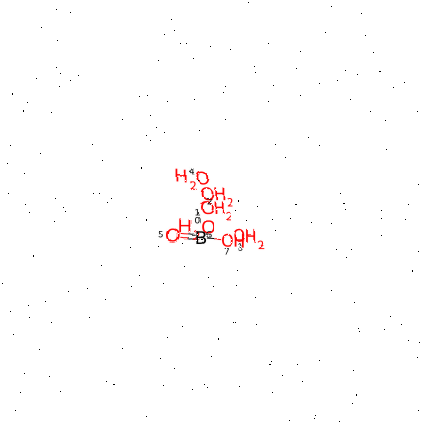 O.O.O.O.O.O=BO